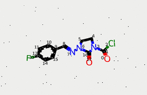 O=C(Cl)N1CCN(N=Cc2ccc(F)cc2)C1=O